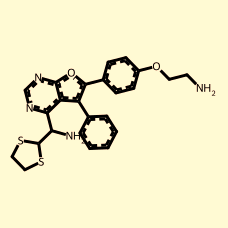 NCCOc1ccc(-c2oc3ncnc(C(N)C4SCCS4)c3c2-c2ccccc2)cc1